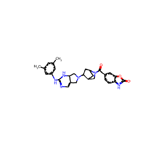 Cc1cc(C)cc(NC2=NC=C3CN(C4CC5CC4CN5C(=O)c4ccc5[nH]c(=O)oc5c4)CC3N2)c1